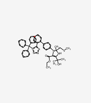 CCOC(=O)C1=C(C(C)(C)O)NC(C)(CSC)N1c1ccc(-c2ccccc2-c2nnnn2C(c2ccccc2)(c2ccccc2)c2ccccc2)cc1